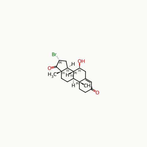 C[C@]12CCC(=O)C=C1C[C@H](O)[C@@H]1[C@@H]2CC[C@]2(C)C(=O)[C@H](Br)C[C@@H]12